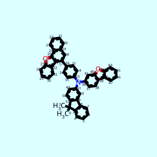 CC1(C)c2ccccc2-c2cc(N(c3ccc(-c4cc5ccccc5c5oc6ccccc6c45)cc3)c3ccc4c(c3)oc3ccccc34)ccc21